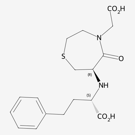 O=C(O)CN1CCSC[C@H](N[C@@H](CCc2ccccc2)C(=O)O)C1=O